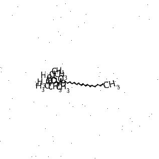 CCCCCCCCCCCCCCCCCCOC(=O)C(C)c1cc(C(C)(C)C)c([O])c(C(C)(C)C)c1